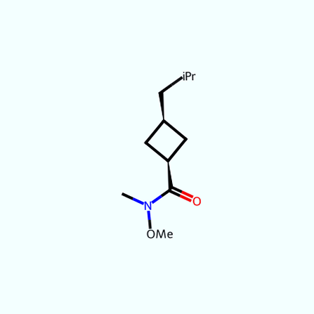 CON(C)C(=O)[C@H]1C[C@@H](CC(C)C)C1